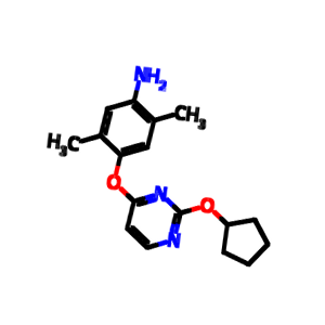 Cc1cc(Oc2ccnc(OC3CCCC3)n2)c(C)cc1N